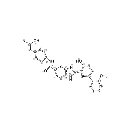 COc1ncccc1-c1ccc(O)c(-c2nc3cc(C(=O)Nc4ccc(CC(C)O)cc4)ccc3[nH]2)c1